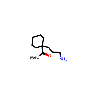 COC(=O)C1(CCCN)CCCCC1